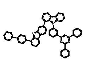 c1ccc(-c2ccc(-c3cccc4c3oc3cc(-c5cccc6c7ccccc7n(-c7cccc(-c8nc(-c9ccccc9)nc(-c9ccccc9)n8)c7)c56)ccc34)cc2)cc1